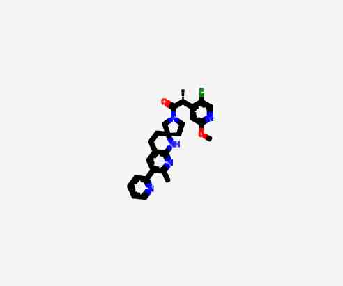 COc1cc([C@@H](C)C(=O)N2CC[C@@]3(CCc4cc(-c5ccccn5)c(C)nc4N3)C2)c(F)cn1